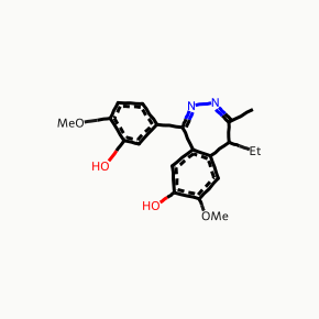 CCC1C(C)=NN=C(c2ccc(OC)c(O)c2)c2cc(O)c(OC)cc21